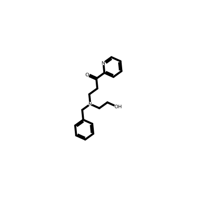 O=C(CCN(CCO)Cc1ccccc1)c1ccccn1